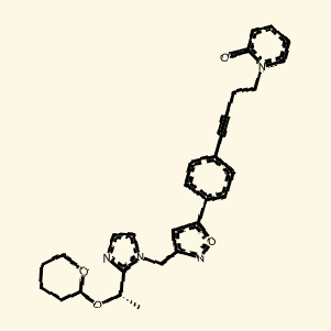 C[C@H](OC1CCCCO1)c1nccn1Cc1cc(-c2ccc(C#CCCn3ccccc3=O)cc2)on1